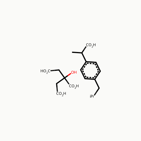 CC(C)Cc1ccc(C(C)C(=O)O)cc1.O=C(O)CC(O)(CC(=O)O)C(=O)O